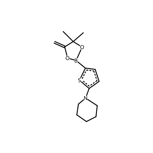 C=C1OB(c2ccc(N3CCCCC3)s2)OC1(C)C